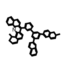 CC1C=Cc2cc(-c3cc(-c4cccc(-c5c6ccc7c(c6nc6c5ccc5ccccc56)C(C)CC=C7)c4)cc(-c4ccc5ccccc5c4)c3)ccc2C1